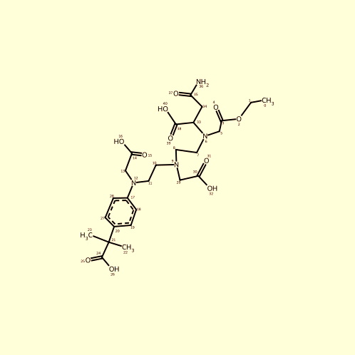 CCOC(=O)CN(CCN(CCN(CC(=O)O)c1ccc(C(C)(C)C(=O)O)cc1)CC(=O)O)C(CC(N)=O)C(=O)O